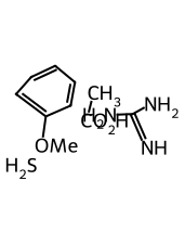 CC(=O)O.COc1ccccc1.N=C(N)N.S